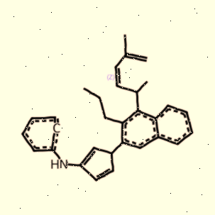 C=C(C)/C=C\C(C)c1c(CCC)c(C2C=CC(Nc3ccccc3)=C2)cc2ccccc12